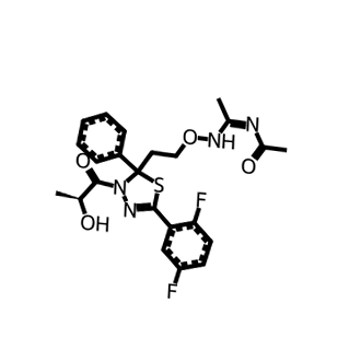 CC(=O)/N=C(/C)NOCCC1(c2ccccc2)SC(c2cc(F)ccc2F)=NN1C(=O)[C@H](C)O